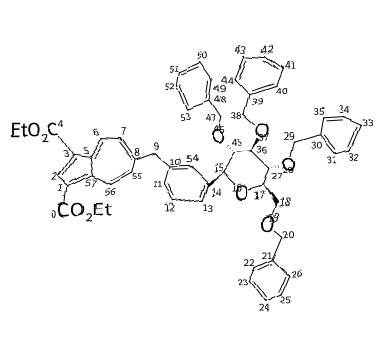 CCOC(=O)c1cc(C(=O)OCC)c2ccc(Cc3cccc([C@@H]4O[C@H](COCc5ccccc5)[C@@H](OCc5ccccc5)[C@H](OCc5ccccc5)[C@H]4OCc4ccccc4)c3)ccc1-2